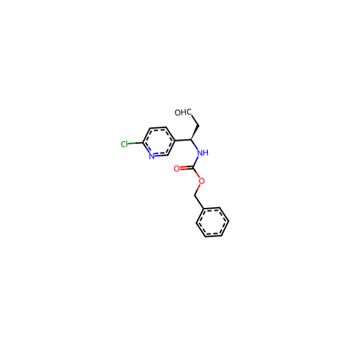 O=CC[C@@H](NC(=O)OCc1ccccc1)c1ccc(Cl)nc1